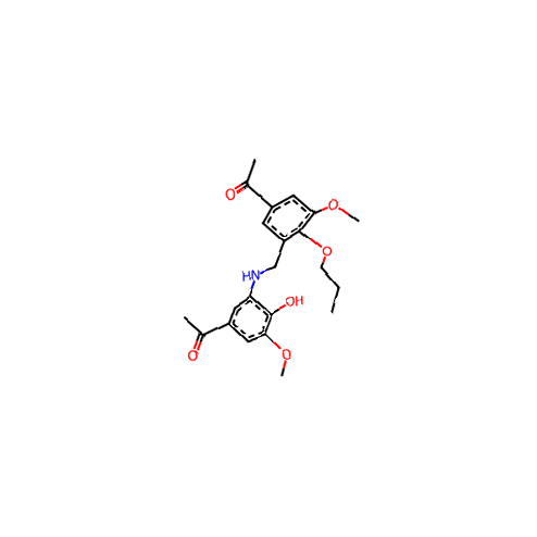 CCCOc1c(CNc2cc(C(C)=O)cc(OC)c2O)cc(C(C)=O)cc1OC